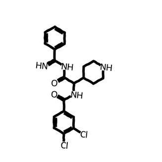 N=C(NC(=O)C(NC(=O)c1ccc(Cl)c(Cl)c1)C1CCNCC1)c1ccccc1